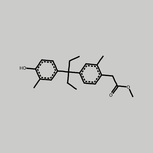 CCC(CC)(c1ccc(O)c(C)c1)c1ccc(CC(=O)OC)c(C)c1